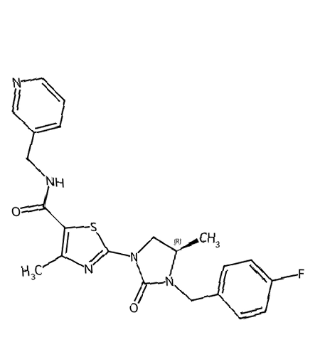 Cc1nc(N2C[C@@H](C)N(Cc3ccc(F)cc3)C2=O)sc1C(=O)NCc1cccnc1